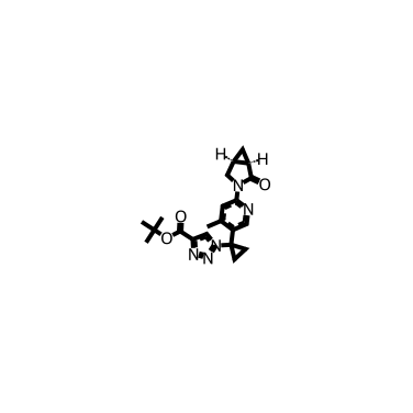 Cc1cc(N2C[C@H]3C[C@H]3C2=O)ncc1C1(n2cc(C(=O)OC(C)(C)C)nn2)CC1